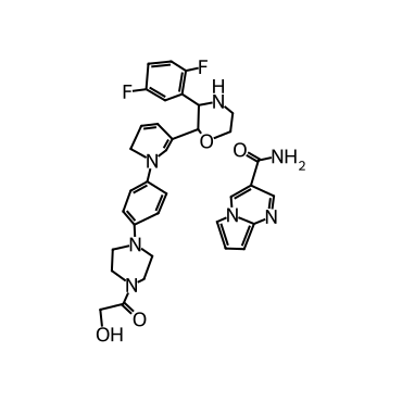 NC(=O)c1cnc2cccn2c1.O=C(CO)N1CCN(c2ccc(N3C=C(C4OCCNC4c4cc(F)ccc4F)C=CC3)cc2)CC1